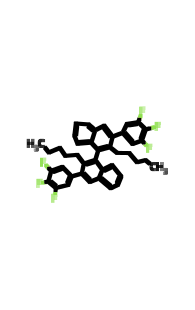 CCCCCc1c(-c2cc(F)c(F)c(F)c2)cc2ccccc2c1-c1c(CCCCC)c(-c2cc(F)c(F)c(F)c2)cc2ccccc12